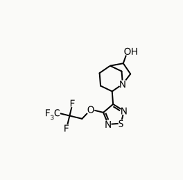 OC1CN2CC1CCC2c1nsnc1OCC(F)(F)C(F)(F)F